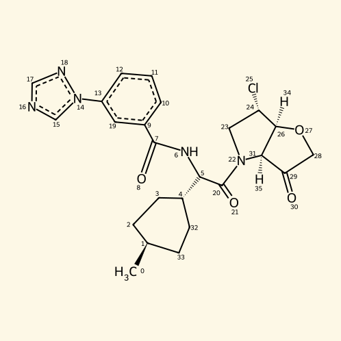 C[C@H]1CC[C@H](C(NC(=O)c2cccc(-n3cncn3)c2)C(=O)N2C[C@H](Cl)[C@H]3OCC(=O)[C@H]32)CC1